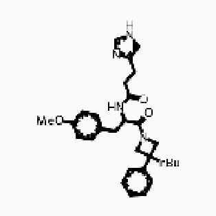 CCCCC1(c2ccccc2)CN(C(=O)C(Cc2ccc(OC)cc2)NC(=O)CCc2c[nH]cn2)C1